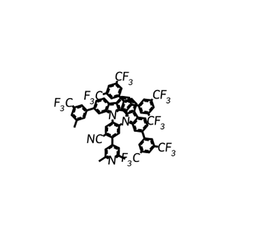 Cc1cc(-c2ccc3c4ccc(-c5cc(C(F)(F)F)cc(C(F)(F)F)c5)cc4n(-c4cc(C#N)c(-c5cc(C)nc(C)c5)cc4-n4c5cc(-c6cc(C(F)(F)F)cc(C(F)(F)F)c6)ccc5c5ccc(-c6cc(C(F)(F)F)cc(C(F)(F)F)c6)cc54)c3c2)cc(C(F)(F)F)c1